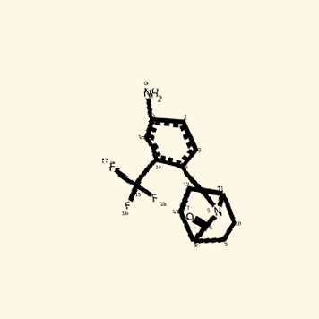 Nc1ccc(N2C(=O)C3CCC2CC3)c(C(F)(F)F)c1